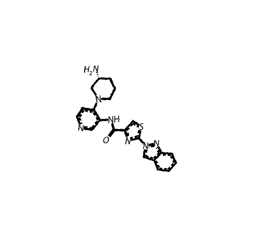 N[C@@H]1CCCN(c2ccncc2NC(=O)c2csc(-n3cc4ccccc4n3)n2)C1